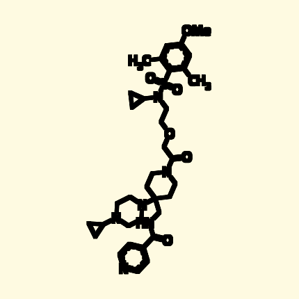 COc1cc(C)c(S(=O)(=O)N(CCOCC(=O)N2CCC(CNC(=O)c3ccncc3)(N3CCN(C4CC4)CC3)CC2)C2CC2)c(C)c1